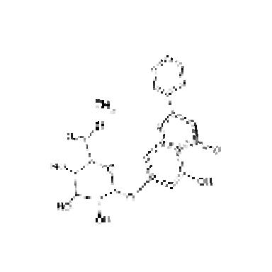 COC(=O)C1OC(Oc2cc(O)c3c(=O)cc(-c4ccccc4)oc3c2)C(O)C(O)C1O